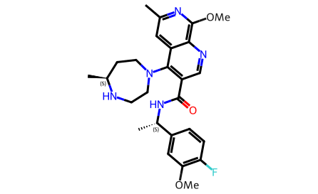 COc1cc([C@H](C)NC(=O)c2cnc3c(OC)nc(C)cc3c2N2CCN[C@@H](C)CC2)ccc1F